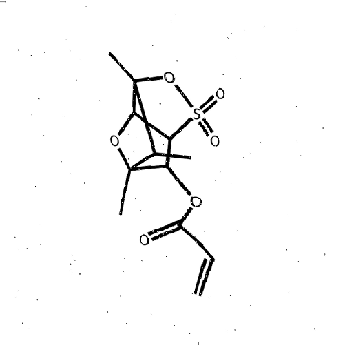 C=CC(=O)OC1C2C3OC1(C)C(C)C3(C)OS2(=O)=O